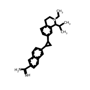 CCN1CCc2ccc(C3CC3c3ccc4cc(C(=N)N)ccc4c3)cc2C1C(C)C